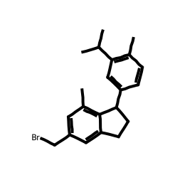 Cc1ccc(C2CCc3cc(CBr)cc(C)c32)cc1C(C)C